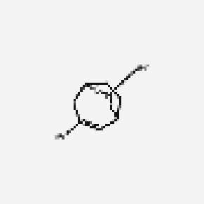 CC(C)C1=CC2CCC(C1)CN(C(C)C)C2